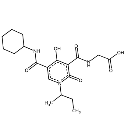 CCC(C)n1cc(C(=O)NC2CCCCC2)c(O)c(C(=O)NCC(=O)O)c1=O